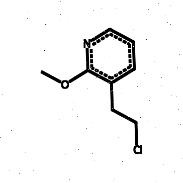 COc1ncccc1CCCl